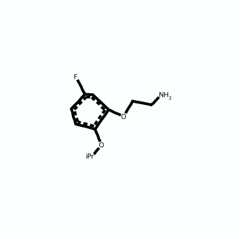 CC(C)Oc1ccc(F)cc1OCCN